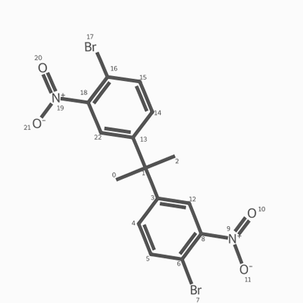 CC(C)(c1ccc(Br)c([N+](=O)[O-])c1)c1ccc(Br)c([N+](=O)[O-])c1